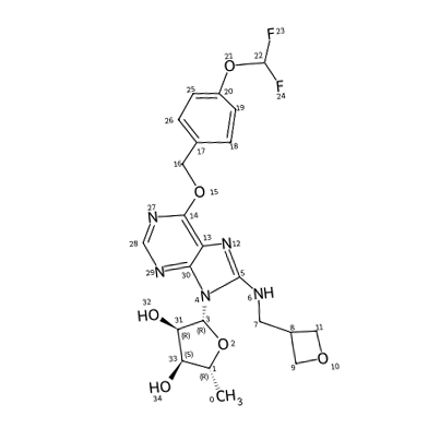 C[C@H]1O[C@@H](n2c(NCC3COC3)nc3c(OCc4ccc(OC(F)F)cc4)ncnc32)[C@H](O)[C@@H]1O